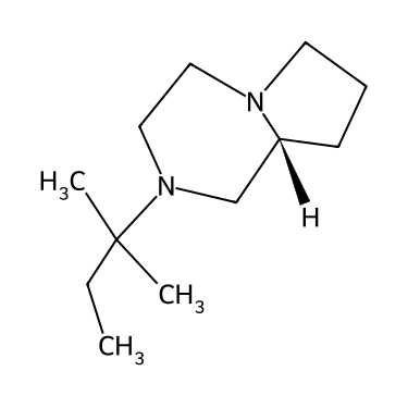 CCC(C)(C)N1CCN2CCC[C@@H]2C1